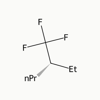 CCC[C@@H](CC)C(F)(F)F